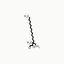 CCCCCCCCCCCCCCC(C)(CC)C(=O)C=O